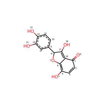 O=C1C=CC(O)=C2OC(c3ccc(O)c(O)c3)C(O)=C12